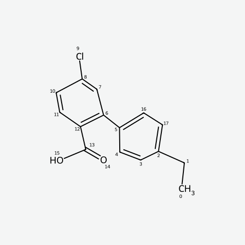 CCc1ccc(-c2cc(Cl)ccc2C(=O)O)cc1